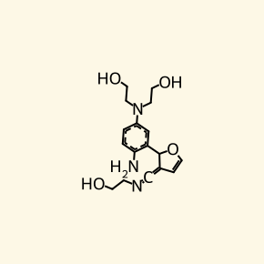 Nc1ccc(N(CCO)CCO)cc1C1OC=CC1=C=NCCO